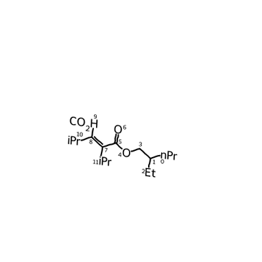 CCCC(CC)COC(=O)/C(=C(\C(=O)O)C(C)C)C(C)C